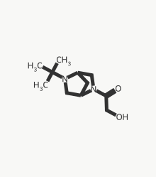 CC(C)(C)N1CC2CC1CN2C(=O)CO